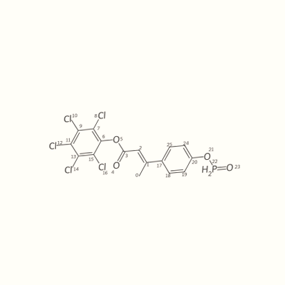 C/C(=C\C(=O)Oc1c(Cl)c(Cl)c(Cl)c(Cl)c1Cl)c1ccc(O[PH2]=O)cc1